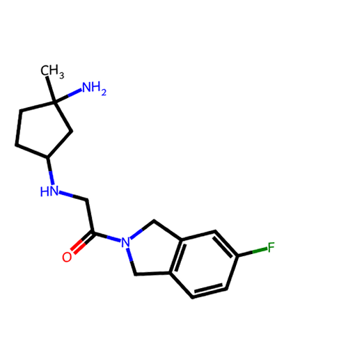 CC1(N)CCC(NCC(=O)N2Cc3ccc(F)cc3C2)C1